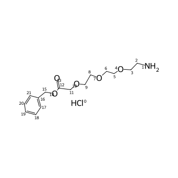 Cl.NCCOCCOCCOCC(=O)OCc1ccccc1